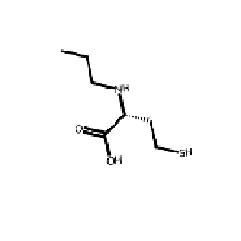 CCCN[C@H](CCS)C(=O)O